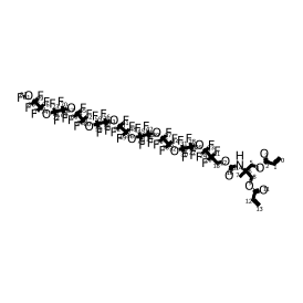 C=CC(=O)OCC(C)(COC(=O)C=C)NC(=O)OCC(F)(F)C(F)(F)OC(F)(F)C(F)(F)OC(F)(F)C(F)(F)OC(F)(F)C(F)(F)OC(F)(F)C(F)(F)OC(F)(F)C(F)(F)OC(F)(F)C(F)(F)OC(F)(F)C(F)(F)OC(F)(F)C(F)(F)OF